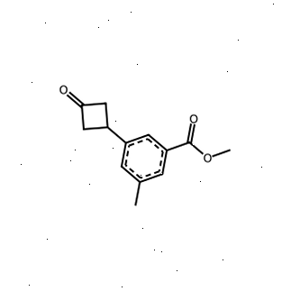 COC(=O)c1cc(C)cc(C2CC(=O)C2)c1